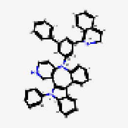 C1=CC2=C(CN1)c1c(c3ccccc3n1-c1ccccc1)-c1ccccc1N2c1cc(C2=c3ccccc3=CCN2)cc(-c2ccccc2)c1